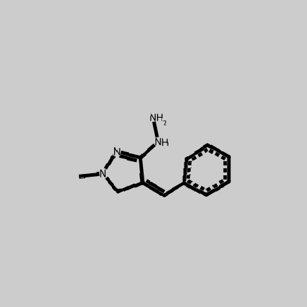 CN1CC(=Cc2ccccc2)C(NN)=N1